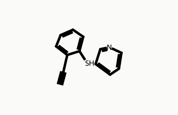 C#Cc1ccccc1S.c1ccncc1